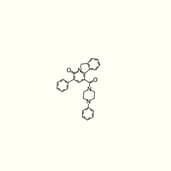 O=C(c1cc(-c2ccccc2)c(=O)n2c1-c1ccccc1C2)N1CCN(c2ccccc2)CC1